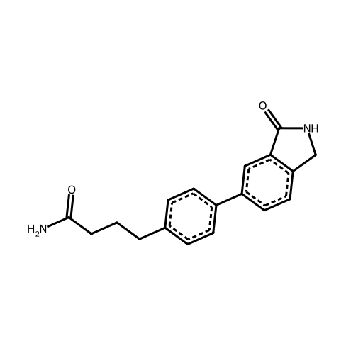 NC(=O)CCCc1ccc(-c2ccc3c(c2)C(=O)NC3)cc1